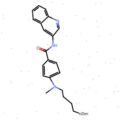 CCCCCCCCCCCCCCN(C)c1ccc(C(=O)Nc2cnc3ccccc3c2)cc1